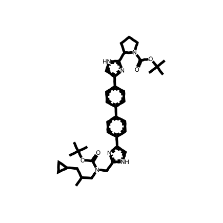 CC(CC1CC1)CN(Cc1nc(-c2ccc(-c3ccc(-c4c[nH]c(C5CCCN5C(=O)OC(C)(C)C)n4)cc3)cc2)c[nH]1)C(=O)OC(C)(C)C